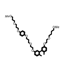 COCCCCOCCOc1ccc(C)c(-c2cc(OCCOCCCOc3ccc(OCCCOCCCOC)cc3)ccc2C)c1